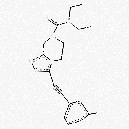 CCN(CC)C(=O)N1CCn2c(C#Cc3cccc(C)c3)nnc2C1